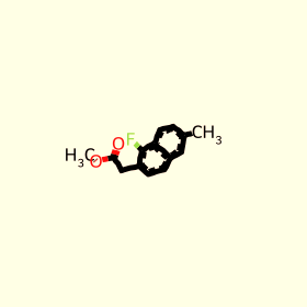 COC(=O)Cc1ccc2cc(C)ccc2c1F